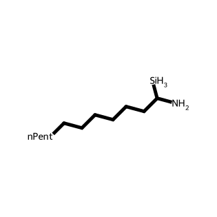 CCCCCCCCCCCC(N)[SiH3]